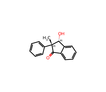 C[C@]1(c2ccccc2)C(=O)c2ccccc2[C@H]1O